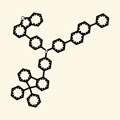 c1ccc(-c2ccc3cc(-c4ccc(N(c5ccc(-c6cccc7c6-c6ccccc6C7(c6ccccc6)c6ccccc6)cc5)c5ccc(-c6cccc7oc8ccccc8c67)cc5)cc4)ccc3c2)cc1